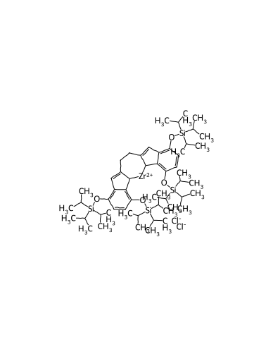 CC(C)[Si](Oc1ccc(O[Si](C(C)C)(C(C)C)C(C)C)c2c1C=C1CCC3=Cc4c(O[Si](C(C)C)(C(C)C)C(C)C)ccc(O[Si](C(C)C)(C(C)C)C(C)C)c4[CH]3[Zr+2][CH]12)(C(C)C)C(C)C.[Cl-].[Cl-]